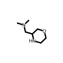 CN(C)CC1COCCN1